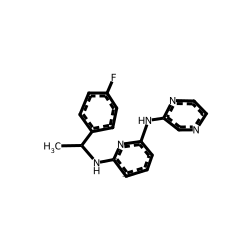 CC(Nc1[c]ccc(Nc2cnccn2)n1)c1ccc(F)cc1